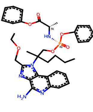 CCCCC(C)(CO[P@@](=O)(N[C@@H](C)C(=O)Oc1ccccc1)Oc1ccccc1)n1c(COCC)nc2c(N)nc3ccccc3c21